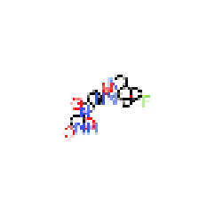 O=C1CCC(N2Cc3cc(C(=O)N[C@H](c4ncccc4-c4ccc(F)cc4)C4CCC4)ccc3C2=O)C(=O)N1